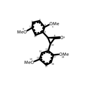 COc1ccc(OC)c(C2C(=O)C2c2cc(OC)ccc2OC)c1